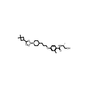 Cc1cc(OCCCC2CCN(N3OOC(C4CC(C)(C)C4)O3)CC2)ccc1C(=O)N[C@H](C)CO